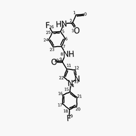 C=CC(=O)Nc1cc(NC(=O)c2cnn(-c3ccc(F)cc3)c2)ccc1F